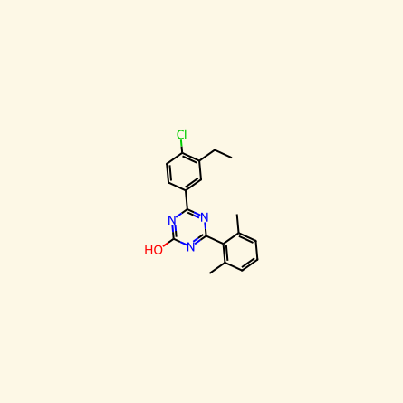 CCc1cc(-c2nc(O)nc(-c3c(C)cccc3C)n2)ccc1Cl